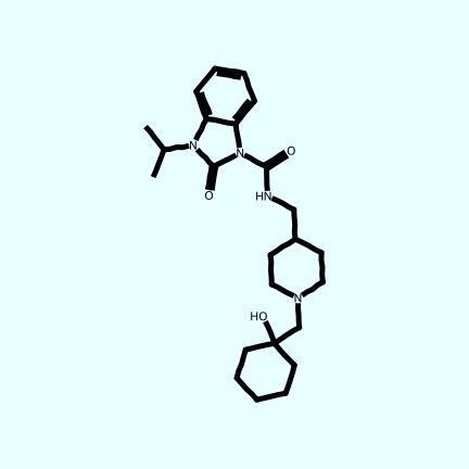 CC(C)n1c(=O)n(C(=O)NCC2CCN(CC3(O)CCCCC3)CC2)c2ccccc21